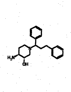 N[C@H]1CCN(C(CCc2ccccc2)c2ccccc2)C[C@@H]1O